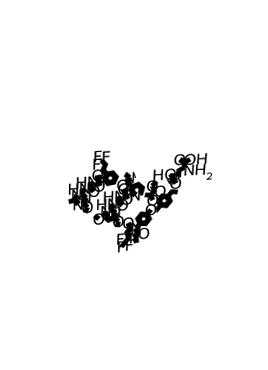 CCc1ccc(COc2ccc(-n3c(=O)cc(C(F)(F)F)n(C)c3=O)cc2)c(OC(C)C(=O)OC)c1.COc1cc(OC)nc(NC(=O)NS(=O)(=O)c2ncccc2C(=O)N(C)C)n1.COc1nc(C)nc(NC(=O)NS(=O)(=O)c2ccccc2CCC(F)(F)F)n1.CP(=O)(O)CCC(N)C(=O)O